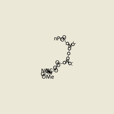 CCCOC(=O)CCc1ccc(N(c2ccc(-c3ccc(-c4ccc(N(c5ccc(CCC(=O)OCCOC(=O)CCC(C)(C#N)N=NC(C)(C#N)CCC(=O)OC)cc5)c5ccc(C)c(C)c5)cc4)cc3)cc2)c2ccc(C)c(C)c2)cc1